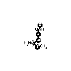 Cc1cccc(-c2sc(N)nc2-c2ccnc(-c3ccc(C(=O)NC4CCOCC4)cc3)c2)n1